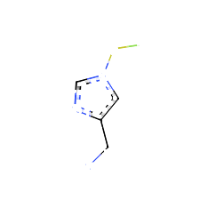 NCc1cn(SF)cn1